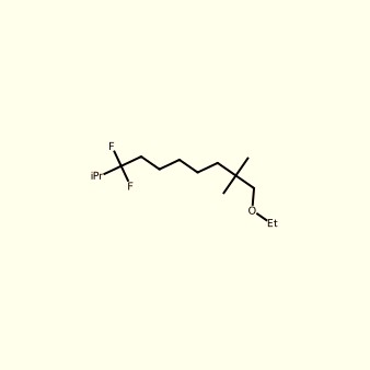 CCOCC(C)(C)CCCCCC(F)(F)C(C)C